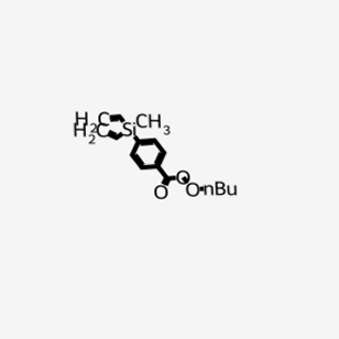 [CH2]CCCOOC(=O)c1ccc([Si](C)(C=C)C=C)cc1